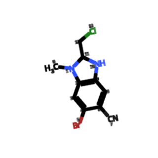 CN1c2cc(Br)c(C#N)cc2NC1CCl